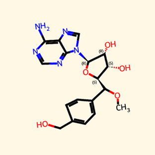 COC(c1ccc(CO)cc1)[C@H]1O[C@@H](n2cnc3c(N)ncnc32)[C@H](O)[C@@H]1O